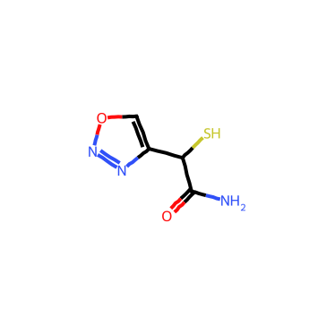 NC(=O)C(S)c1conn1